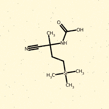 CC(C#N)(CC[Si](C)(C)C)NC(=O)O